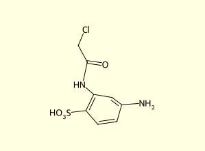 Nc1ccc(S(=O)(=O)O)c(NC(=O)CCl)c1